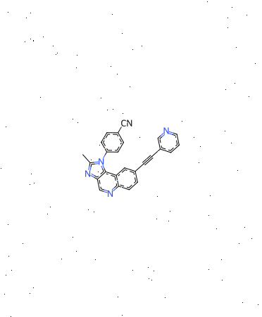 Cc1nc2cnc3ccc(C#Cc4cccnc4)cc3c2n1-c1ccc(C#N)cc1